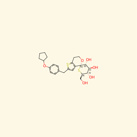 OC[C@H]1S[C@]2(OCCc3sc(Cc4ccc(OC5CCCC5)cc4)cc32)[C@H](O)[C@@H](O)[C@@H]1O